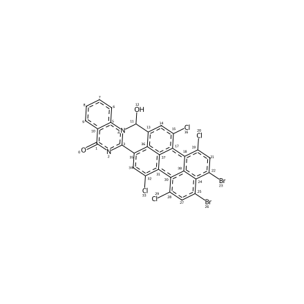 O=c1nc2n(c3ccccc13)C(O)c1cc(Cl)c3c4c(Cl)cc(Br)c5c(Br)cc(Cl)c(c6c(Cl)cc-2c1c63)c54